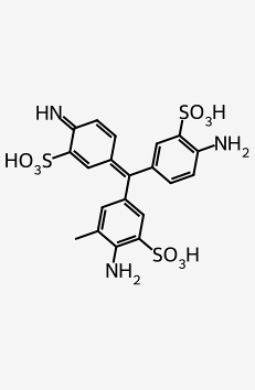 Cc1cc(/C(=C2/C=CC(=N)C(S(=O)(=O)O)=C2)c2ccc(N)c(S(=O)(=O)O)c2)cc(S(=O)(=O)O)c1N